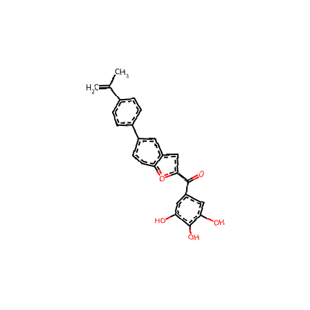 C=C(C)c1ccc(-c2ccc3oc(C(=O)c4cc(O)c(O)c(O)c4)cc3c2)cc1